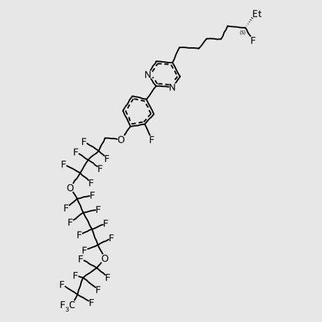 CC[C@H](F)CCCCCc1cnc(-c2ccc(OCC(F)(F)C(F)(F)C(F)(F)OC(F)(F)C(F)(F)C(F)(F)C(F)(F)OC(F)(F)C(F)(F)C(F)(F)C(F)(F)F)c(F)c2)nc1